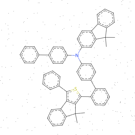 CC1(C)c2ccccc2-c2ccc(N(c3ccc(-c4ccccc4)cc3)c3ccc(-c4ccccc4-c4sc(-c5ccccc5)c5c4C(C)(C)c4ccccc4-5)cc3)cc21